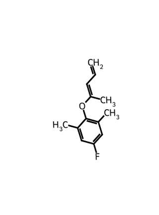 C=C/C=C(\C)Oc1c(C)cc(F)cc1C